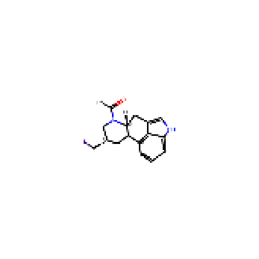 CCC(=O)N1C[C@H](CI)CC2c3cccc4[nH]cc(c34)C[C@H]21